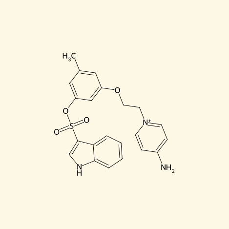 Cc1cc(OCC[n+]2ccc(N)cc2)cc(OS(=O)(=O)c2c[nH]c3ccccc23)c1